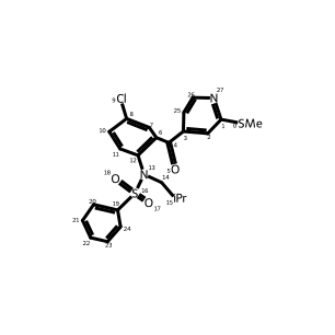 CSc1cc(C(=O)c2cc(Cl)ccc2N(CC(C)C)S(=O)(=O)c2ccccc2)ccn1